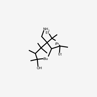 CCC(C)C(C)(O)C(C)C(C)(C)C(CN)(C(C)C(C)(CC)C(C)C)C(C)(C)CC